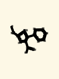 COc1nc(C(C)=O)c(-c2ccccc2)s1